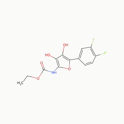 CCOC(=O)Nc1oc(-c2ccc(F)c(F)c2)c(O)c1O